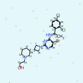 C[C@@H](Nc1nc(N2CC([C@H]3CCCN(CCO)C3)C2)ncc1Br)c1ccc(Cl)cc1Cl